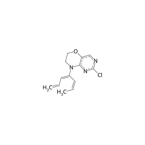 C=C/C=C(\C=C/C)N1CCOc2cnc(Cl)nc21